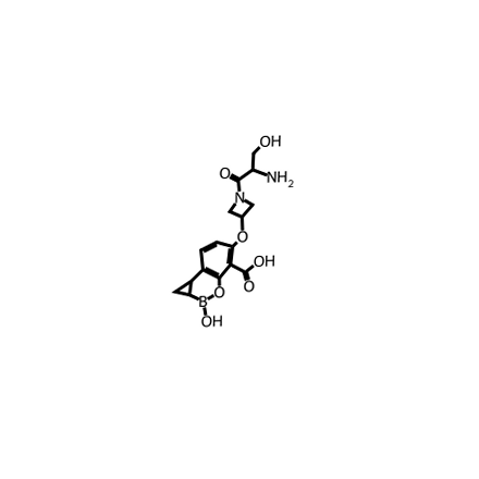 NC(CO)C(=O)N1CC(Oc2ccc3c(c2C(=O)O)OB(O)C2CC32)C1